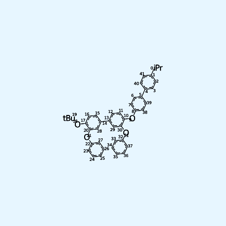 CC(C)c1ccc(-c2ccc(Oc3ccc(-c4ccc(OC(C)(C)C)c(Oc5ccccc5)c4)cc3Oc3ccccc3)cc2)cc1